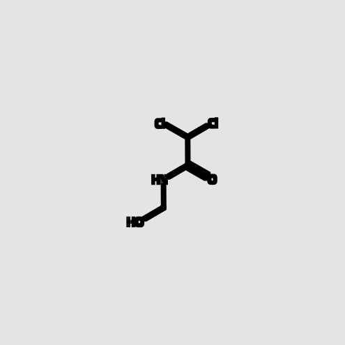 O=C(NCO)C(Cl)Cl